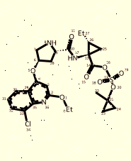 CCOc1cc(O[C@H]2CN[C@H](C(=O)N[C@]3(C(=O)OS(=O)(=O)OC4(C)CC4)C[C@H]3CC)C2)c2cccc(Cl)c2n1